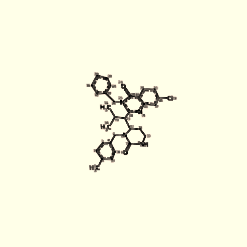 Cc1ccc(CN2C(=O)NCCC2C(c2nc3cc(Cl)ccc3c(=O)n2Cc2ccccc2)C(C)C)cc1